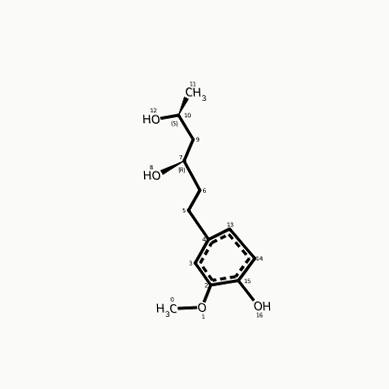 COc1cc(CC[C@@H](O)C[C@H](C)O)ccc1O